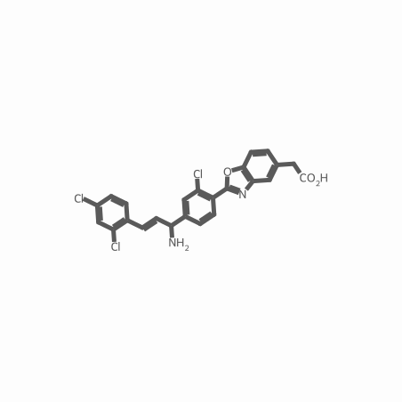 NC(C=Cc1ccc(Cl)cc1Cl)c1ccc(-c2nc3cc(CC(=O)O)ccc3o2)c(Cl)c1